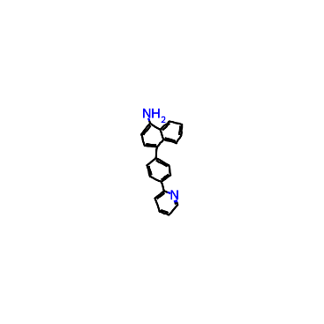 Nc1ccc(-c2ccc(-c3ccccn3)cc2)c2ccccc12